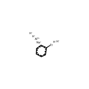 CCc1ccccc1.[Al+3].[H-].[H-].[H-].[H-].[Na+]